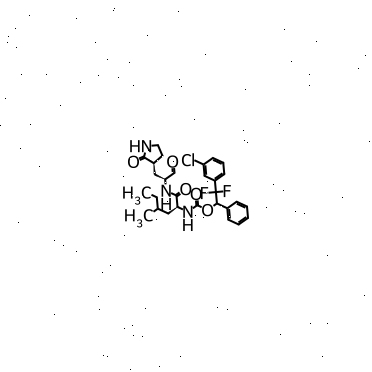 CCC(C)C[C@H](NC(=O)OC(c1ccccc1)C(F)(F)c1cccc(Cl)c1)C(=O)N[C@H](C=O)C[C@@H]1CCNC1=O